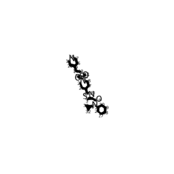 O=C(c1csc(C2CCN(S(=O)(=O)CCc3ccncc3)CC2)n1)N(C1CCCCC1)C1CC1